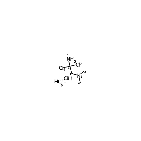 CN(C)CC(N)(Cl)Cl.Cl.Cl